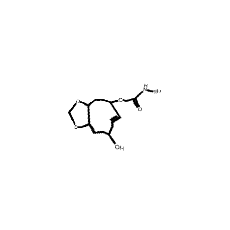 CC(C)(C)NC(=O)OC1/C=C/C(O)CC2OCOC2C1